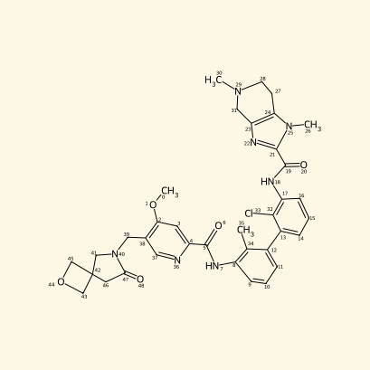 COc1cc(C(=O)Nc2cccc(-c3cccc(NC(=O)c4nc5c(n4C)CCN(C)C5)c3Cl)c2C)ncc1CN1CC2(COC2)CC1=O